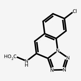 O=C(O)Nc1cc2ccc(Cl)cc2n2nnnc12